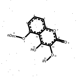 CCCCCCCCCCOc1cccc2oc(=O)c(OC(C)C)c(O)c12